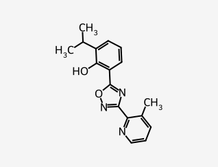 Cc1cccnc1-c1noc(-c2cccc(C(C)C)c2O)n1